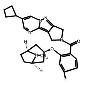 CN1[C@@H]2CC[C@H]1C[C@@H](Oc1cc(F)ccc1C(=O)N1Cc3nn4cc(C5CCC5)cnc4c3C1)C2